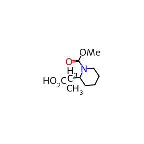 CC(=O)O.COC(=O)N1CCCCC1C